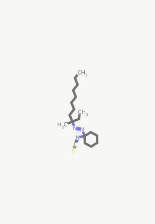 CCCCCCCCC(C)(CC)/N=N/C1(N=C=S)CCCCC1